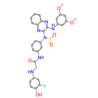 COc1cc(Nc2nc3ccccc3nc2N(c2cccc(NC(=O)CNc3ccc(O)c(F)c3)c2)[SH](=O)=O)cc(OC)c1